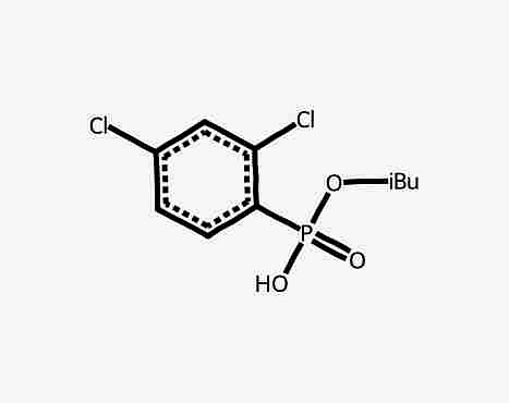 CCC(C)OP(=O)(O)c1ccc(Cl)cc1Cl